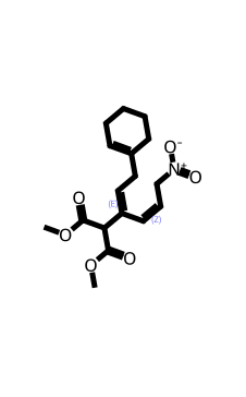 COC(=O)C(C(=O)OC)C(/C=C\C[N+](=O)[O-])=C/CC1=CCCCC1